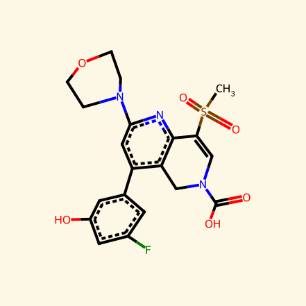 CS(=O)(=O)C1=CN(C(=O)O)Cc2c(-c3cc(O)cc(F)c3)cc(N3CCOCC3)nc21